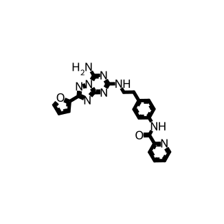 Nc1nc(NCCc2ccc(NC(=O)c3ccccn3)cc2)nc2nc(-c3ccco3)nn12